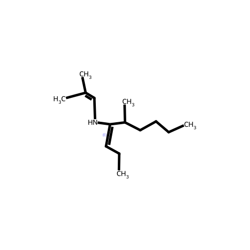 CC/C=C(/NC=C(C)C)C(C)CCCC